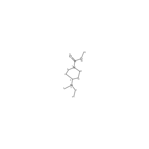 [CH2]CN(C)C1CCN(C(=O)OC)CC1